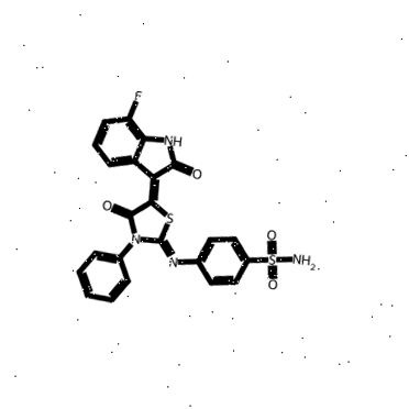 NS(=O)(=O)c1ccc(/N=C2\S/C(=C3\C(=O)Nc4c(F)cccc43)C(=O)N2c2ccccc2)cc1